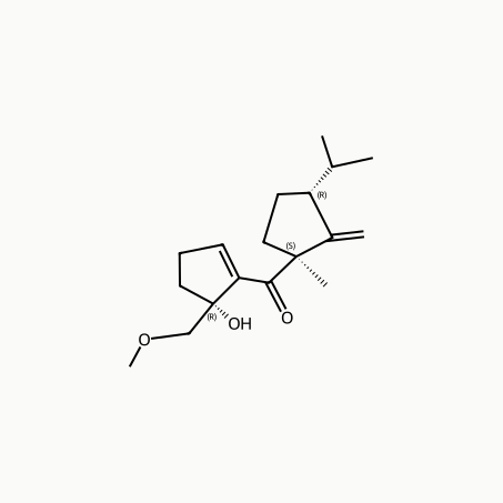 C=C1[C@@H](C(C)C)CC[C@]1(C)C(=O)C1=CCC[C@]1(O)COC